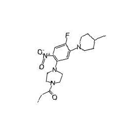 CCC(=O)N1CCN(c2cc(N3CCC(C)CC3)c(F)cc2[N+](=O)[O-])CC1